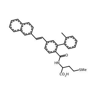 CSCCC(NC(=O)c1ccc(/C=C/c2ccc3ccccc3c2)cc1-c1ccccc1C)C(=O)O